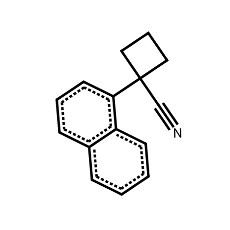 N#CC1(c2cccc3ccccc23)CCC1